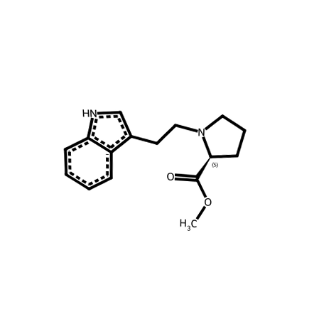 COC(=O)[C@@H]1CCCN1CCc1c[nH]c2ccccc12